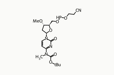 CO[C@H]1C[C@H](n2ccc(N(C)C(=O)OC(C)(C)C)nc2=O)O[C@@H]1COPOCCC#N